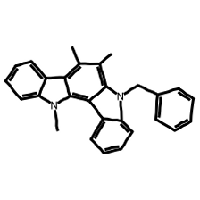 Cc1c(C)c2c(c3ccccc3n2Cc2ccccc2)c2c1c1ccccc1n2C